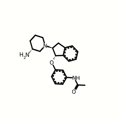 CC(=O)Nc1cccc(O[C@H]2c3ccccc3C[C@@H]2N2CCC[C@@H](N)C2)c1